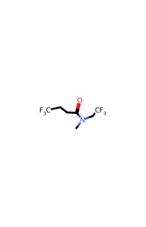 CN(CC(F)(F)F)C(=O)CCC(F)(F)F